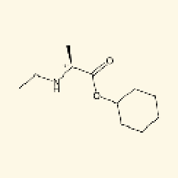 CCN[C@@H](C)C(=O)OC1CCCCC1